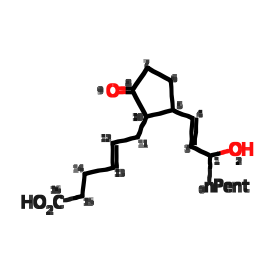 CCCCCC(O)C=CC1CCC(=O)C1CC=CCCC(=O)O